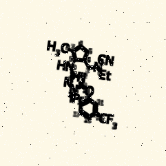 CCN(C#N)C[C@@H]1CC[C@H](C)[C@H]1Nc1nc(Oc2cccc(C(F)(F)F)c2)n(C(C)C)n1